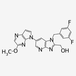 COc1cnc2ccn(-c3cnc4nc(CO)n(Cc5cc(F)cc(F)c5)c4c3)c2n1